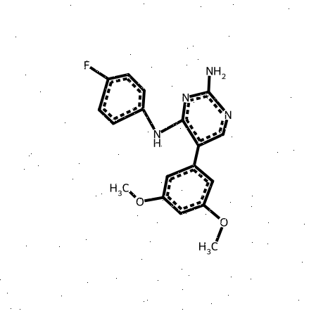 COc1cc(OC)cc(-c2cnc(N)nc2Nc2ccc(F)cc2)c1